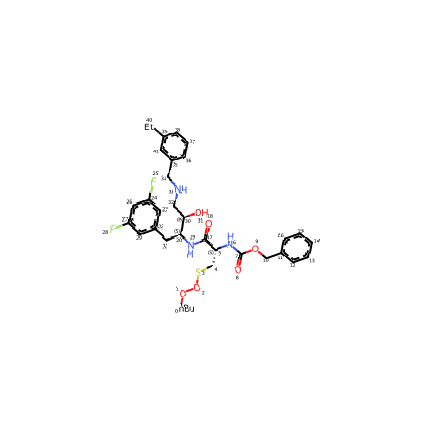 CCCCOOSC[C@@H](NC(=O)OCc1ccccc1)C(=O)N[C@@H](Cc1cc(F)cc(F)c1)[C@H](O)CNCc1cccc(CC)c1